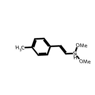 CO[SiH](C=Cc1ccc(C)cc1)OC